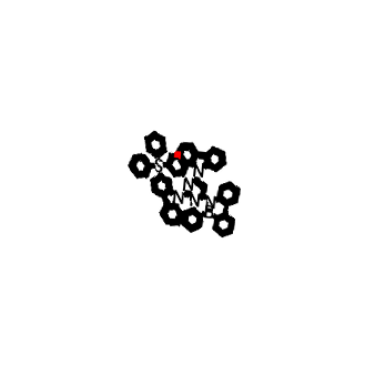 c1ccc(B2c3ccccc3-c3ccccc3N2c2cc(-n3c4ccccc4c4ccccc43)nc(-n3c4ccccc4c4ccc(S(c5ccccc5)(c5ccccc5)c5ccccc5)cc43)n2)cc1